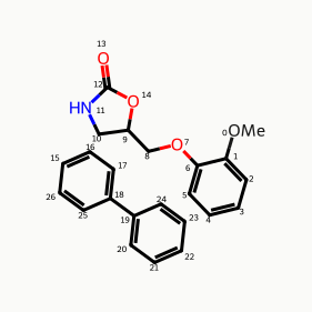 COc1ccccc1OCC1CNC(=O)O1.c1ccc(-c2ccccc2)cc1